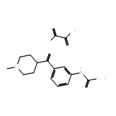 CN1CCC(C(=O)c2cccc(NC(=S)NC(F)(F)F)c2)CC1.O=C(O)C(=O)O